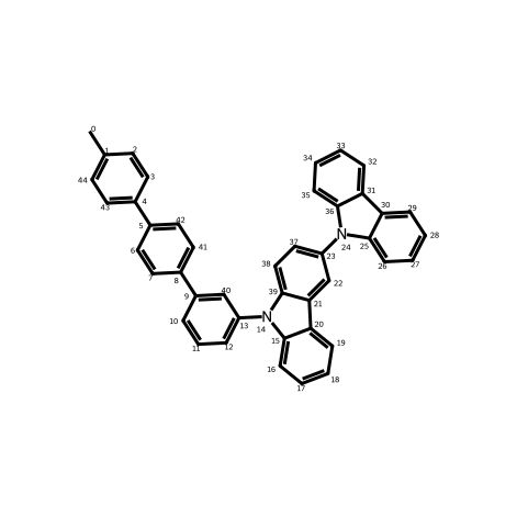 Cc1ccc(-c2ccc(-c3cccc(-n4c5ccccc5c5cc(-n6c7ccccc7c7ccccc76)ccc54)c3)cc2)cc1